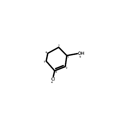 OC1C=C(Cl)CCC1